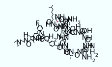 CCN(CC)CCNC(=O)c1c(C)[nH]c(/C=C2\C(=O)N(CC(=O)OCc3ccc(-c4ccc(C[C@H]5NC(=O)C(CCN)NC(=O)[C@@H](NC(=O)[C@H](CCN)NC(=O)[C@@H](NC(=O)[C@@H](CCN)NC(=O)CCCCCC(C)C)[C@@H](C)O)CCNC(=O)[C@H]([C@@H](C)O)NC(=O)[C@H](CCN)NC(=O)[C@H](CCN)NC(=O)[C@H](CC(C)C)NC5=O)cc4)cc3)c3ccc(F)cc32)c1C